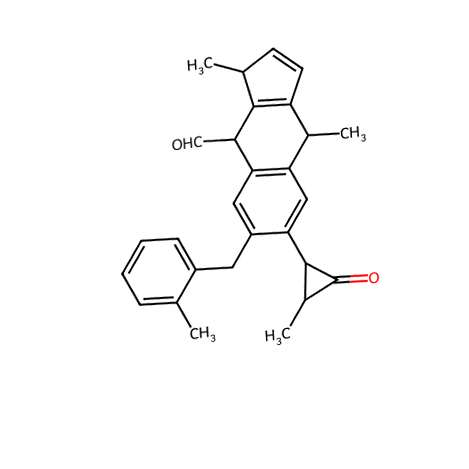 Cc1ccccc1Cc1cc2c(cc1C1C(=O)C1C)C(C)C1=C(C(C)C=C1)C2C=O